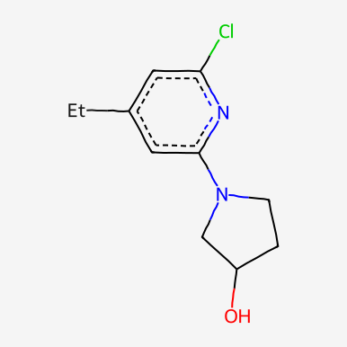 CCc1cc(Cl)nc(N2CCC(O)C2)c1